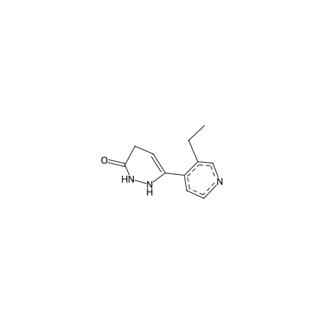 CCc1cnccc1C1=CCC(=O)NN1